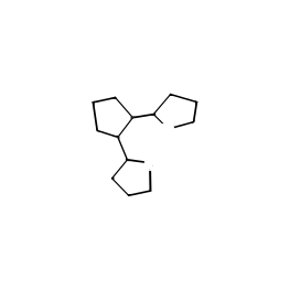 C1CSC([C]2CCCC2C2CCCS2)C1